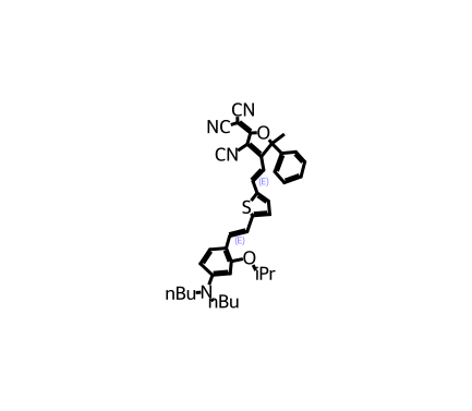 [C-]#[N+]C1=C(/C=C/c2ccc(/C=C/c3ccc(N(CCCC)CCCC)cc3OC(C)C)s2)C(C)(c2ccccc2)OC1=C(C#N)C#N